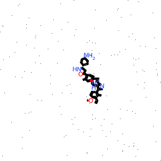 C=Cc1c(OC)ccc(C2=CN=C3/C(Nc4ccc(C(=O)CC(=N)[C@H]5CC[C@H](N)CC5)c(C)c4)=C/C/C=C\C=C\23)c1C